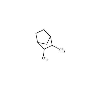 FC(F)(F)C1C2CCC(C2)C1C(F)(F)F